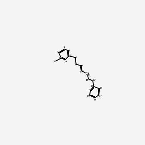 Cc1cccc(CCC=COCCc2ccccc2)c1